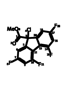 COC(=O)C1(Cl)c2cc(F)cc(F)c2-c2c(F)cc(F)cc21